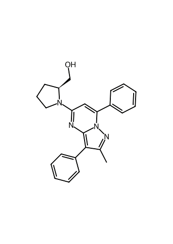 Cc1nn2c(-c3ccccc3)cc(N3CCC[C@H]3CO)nc2c1-c1ccccc1